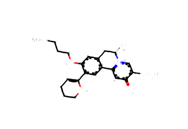 COCCCOc1cc2c(cc1C1=CCCCO1)-c1cc(=O)c(C(=O)O)cn1[C@H](C(C)(C)C)C2